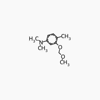 COCOc1cc(N(C)C)ccc1C